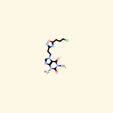 Cn1c(=O)c2c(ncn2CCc2noc(CCCCl)n2)n(C)c1=O